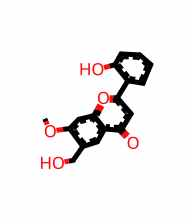 COc1cc2oc(-c3ccccc3O)cc(=O)c2cc1CO